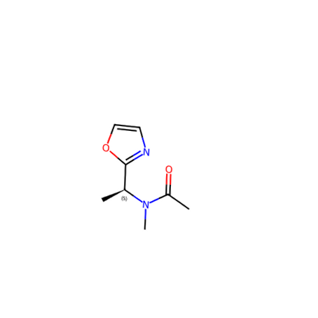 CC(=O)N(C)[C@@H](C)c1ncco1